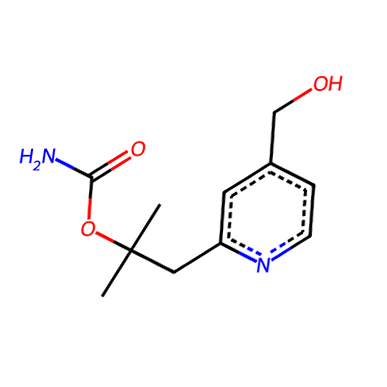 CC(C)(Cc1cc(CO)ccn1)OC(N)=O